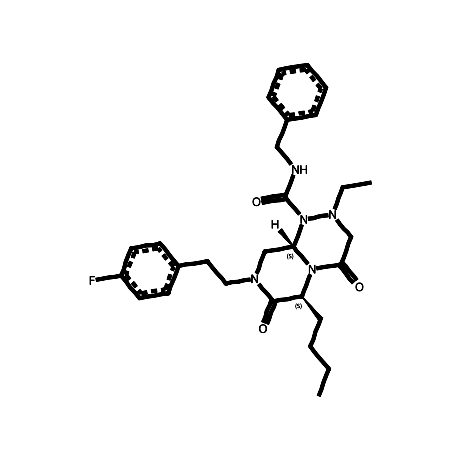 CCCC[C@H]1C(=O)N(CCc2ccc(F)cc2)C[C@H]2N1C(=O)CN(CC)N2C(=O)NCc1ccccc1